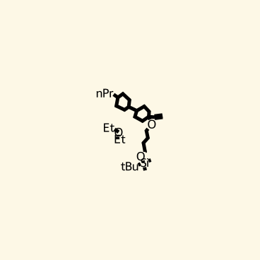 C#CC1(OCCCCO[Si](C)(C)C(C)(C)C)CCC(C2CCC(CCC)CC2)CC1.CCOCC